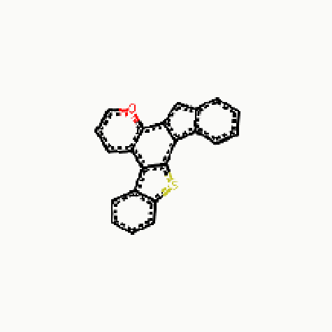 c1ccc2c(c1)cc1c3occcc3c3c4ccccc4sc3c21